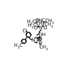 CCOP1(=O)CCN(Cc2ccc(Cl)cc2-c2ccc(C)cc2)C[C@@]1(CCCCN(C(=O)OC(C)(C)C)C(=O)OC(C)(C)C)C(=O)O